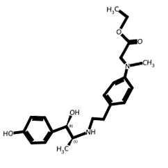 CCOC(=O)CN(C)c1ccc(CCN[C@@H](C)[C@H](O)c2ccc(O)cc2)cc1